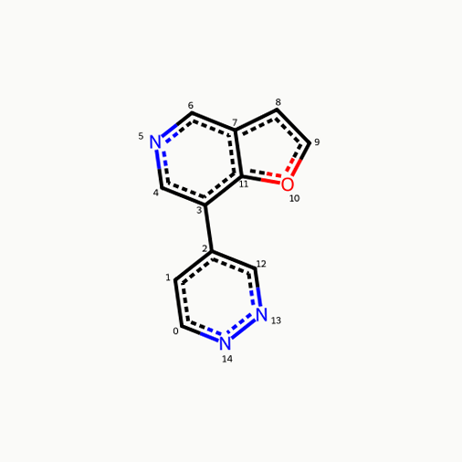 c1cc(-c2cncc3ccoc23)cnn1